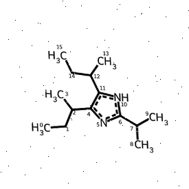 CCC(C)c1nc(C(C)C)[nH]c1C(C)CC